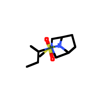 CCC(C)N1CC2CCC(C1)N2S(C)(=O)=O